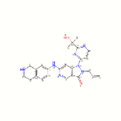 C=CCn1c(=O)c2cnc(Nc3ccc4c(c3)CNCC4)cc2n1-c1ccnc(C(C)(C)O)n1